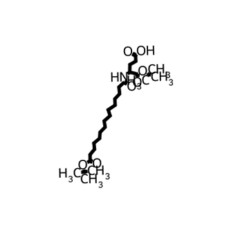 CC(C)(C)OC(=O)CCCCCCCCCCCCCC(=O)NC(CCC(=O)O)C(=O)OC(C)(C)C